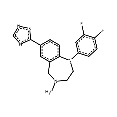 CN1CCN(c2ccc(F)c(F)c2)c2ccc(-c3ncns3)cc2C1